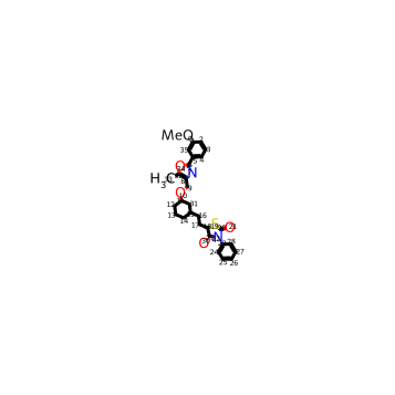 COc1cccc(-c2nc(COC3CCCC(CCC4SC(=O)N(c5ccccc5)C4=O)C3)c(C)o2)c1